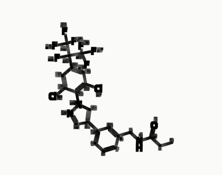 CCC(=O)NCc1cccc(-c2cnn(-c3c(Cl)cc(C(F)(C(F)(F)F)C(F)(F)F)cc3Cl)c2)c1